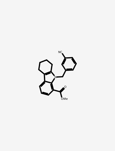 COC(=O)c1cccc2c3c(n(Cc4cccc(C#N)c4)c12)CCCC3